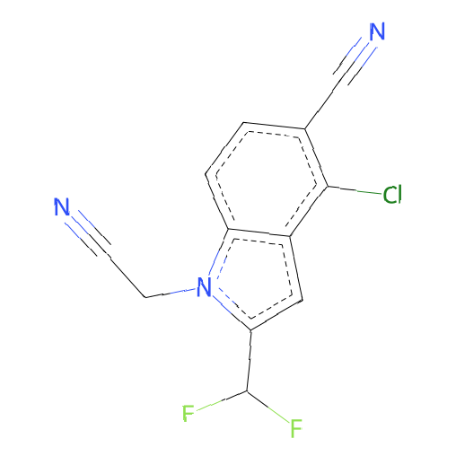 N#CCn1c(C(F)F)cc2c(Cl)c(C#N)ccc21